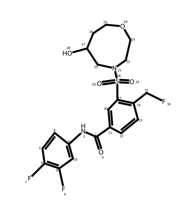 O=C(Nc1ccc(F)c(F)c1)c1ccc(CF)c(S(=O)(=O)N2CCOCCC(O)C2)c1